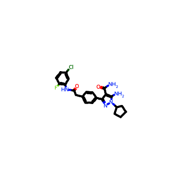 NC(=O)c1c(-c2ccc(CC(=O)Nc3cc(Cl)ccc3F)cc2)nn(C2CCCC2)c1N